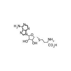 Nc1ncnc2c1ncn2C1O[C@H](CSCC[C@H](N)C(=O)O)[C@@H](O)[C@H]1O